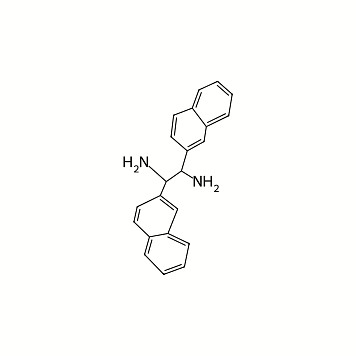 NC(c1ccc2ccccc2c1)C(N)c1ccc2ccccc2c1